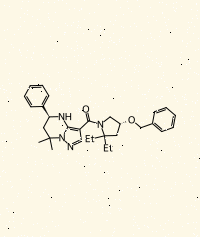 CCC1(CC)C[C@@H](OCc2ccccc2)CN1C(=O)c1cnn2c1N[C@H](c1ccccc1)CC2(C)C